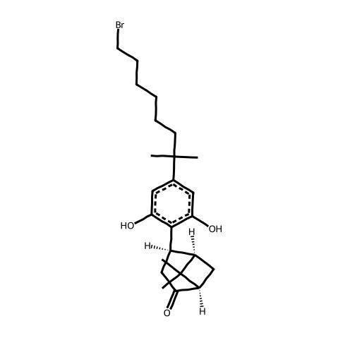 CC(C)(CCCCCCBr)c1cc(O)c([C@@H]2CC(=O)[C@@H]3C[C@H]2C3(C)C)c(O)c1